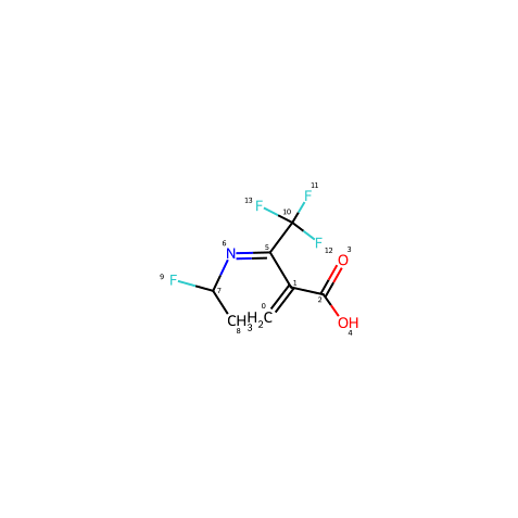 C=C(C(=O)O)/C(=N\C(C)F)C(F)(F)F